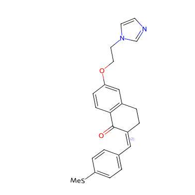 CSc1ccc(/C=C2/CCc3cc(OCCn4ccnc4)ccc3C2=O)cc1